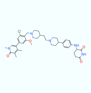 COc1cc(-c2cn(C)c(=O)c(C)c2C)cc(Cl)c1CN1CCC(CCN2CCC(c3ccc(NC4CCC(=O)NC4=O)cc3)CC2)CC1